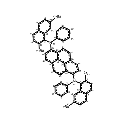 CC(C)(C)c1ccc2ccc(C(C)(C)C)c(N(c3ccccc3)c3ccc4ccc5c(N(c6ccccc6)c6c(C(C)(C)C)ccc7ccc(C(C)(C)C)cc67)ccc6ccc3c4c65)c2c1